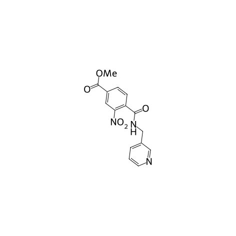 COC(=O)c1ccc(C(=O)NCc2cccnc2)c([N+](=O)[O-])c1